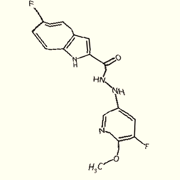 COc1ncc(NNC(=O)c2cc3cc(F)ccc3[nH]2)cc1F